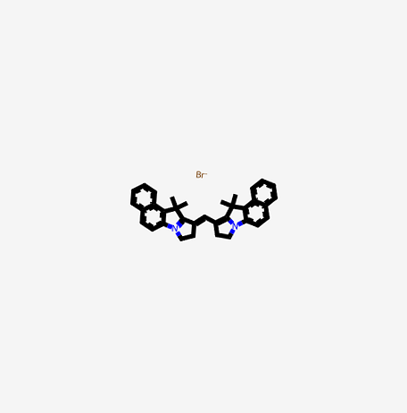 CC1(C)C2=C(C=C3CC[N+]4=C3C(C)(C)c3c4ccc4ccccc34)CCN2c2ccc3ccccc3c21.[Br-]